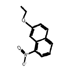 CCOc1ccc2cccc([N+](=O)[O-])c2c1